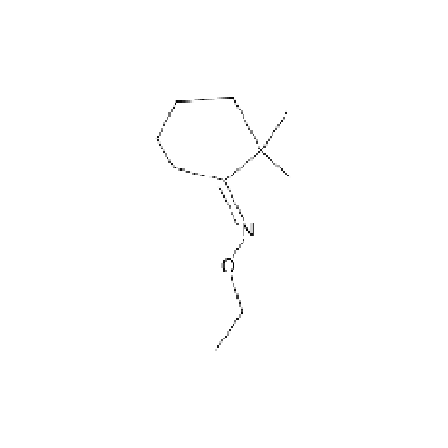 CCON=C1CCCCC1(C)C